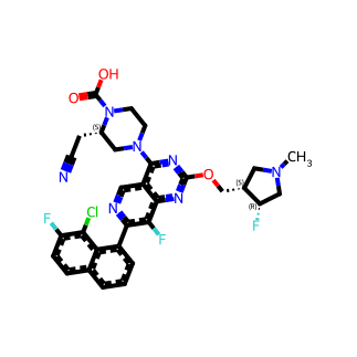 CN1C[C@@H](COc2nc(N3CCN(C(=O)O)[C@@H](CC#N)C3)c3cnc(-c4cccc5ccc(F)c(Cl)c45)c(F)c3n2)[C@@H](F)C1